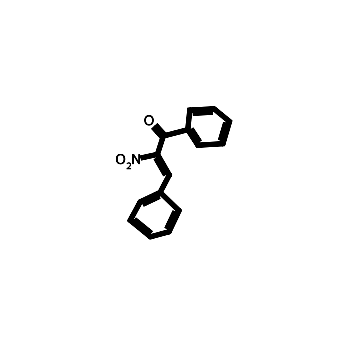 O=C(/C(=C/c1ccccc1)[N+](=O)[O-])c1ccccc1